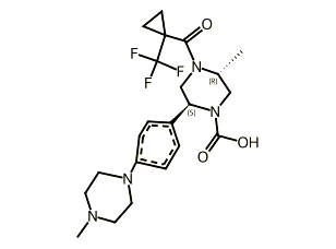 C[C@@H]1CN(C(=O)O)[C@@H](c2ccc(N3CCN(C)CC3)cc2)CN1C(=O)C1(C(F)(F)F)CC1